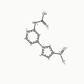 O=C(O)Nc1cc(-n2cc([N+](=O)[O-])cn2)ccn1